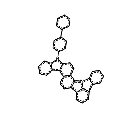 c1ccc(-c2ccc(-n3c4ccccc4c4c5ccc6c7cccc8c9ccccc9n(c6c5ccc43)c87)cc2)cc1